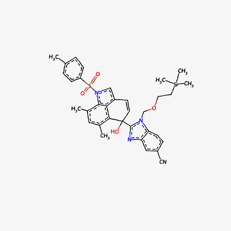 Cc1ccc(S(=O)(=O)n2cc3c4c(c(C)cc(C)c42)C(O)(c2nc4cc(C#N)ccc4n2COCC[Si](C)(C)C)C=C3)cc1